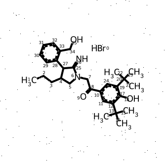 Br.CCCC1CN(CC(=O)c2cc(C(C)(C)C)c(O)c(C(C)(C)C)c2)C(=N)C1c1ccccc1CO